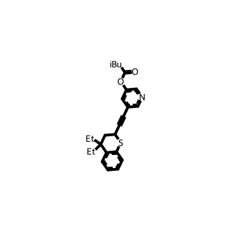 CCC(C)C(=O)Oc1cncc(C#CC2CC(CC)(CC)c3ccccc3S2)c1